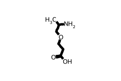 CC(N)COCCC(=O)O